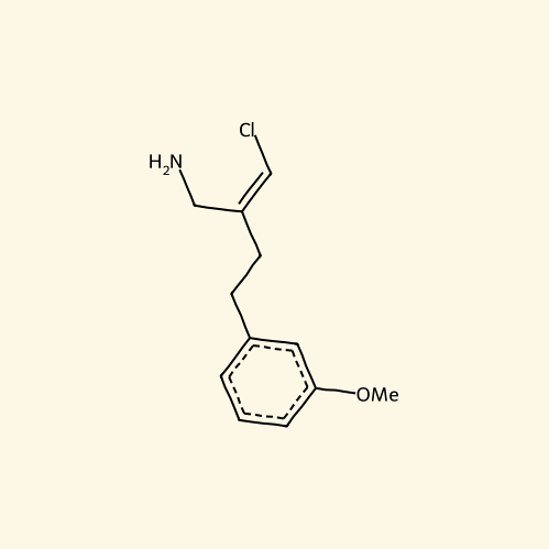 COc1cccc(CCC(=CCl)CN)c1